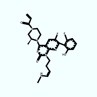 C=CC(=O)N1CCN(c2nc(=O)n(CC/C=C\NC)c3nc(-c4c(O)cccc4F)c(F)cc23)[C@@H](C)C1